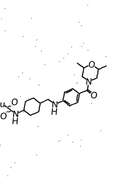 CC1CN(C(=O)c2ccc(NCC3CCC(NS(=O)(=O)C(C)(C)C)CC3)cc2)CC(C)O1